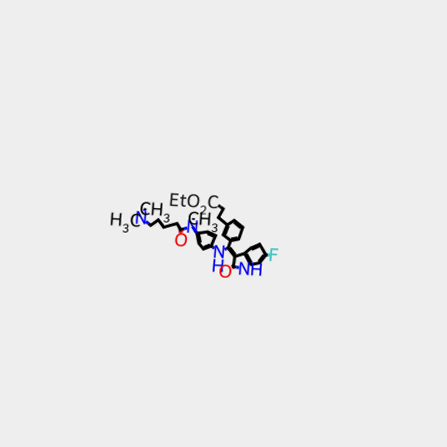 CCOC(=O)CCc1cccc(/C(Nc2ccc(N(C)C(=O)CCCCN(C)C)cc2)=C2/C(=O)Nc3cc(F)ccc32)c1